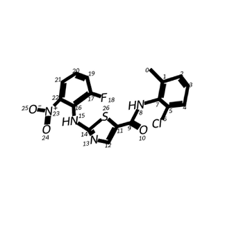 Cc1cccc(Cl)c1NC(=O)c1cnc(Nc2c(F)cccc2[N+](=O)[O-])s1